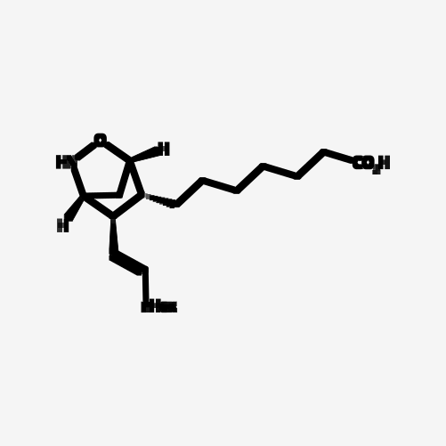 CCCCCC/C=C/[C@@H]1[C@@H](CCCCCCC(=O)O)[C@@H]2C[C@H]1NO2